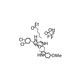 CCC(=O)CCCCC[C@H](NC(=O)Cc1c(C)[nH]c2ccc(OC)cc12)c1ncc(-c2ccc(Cl)c(Cl)c2)[nH]1.O=C(O)C(F)(F)F